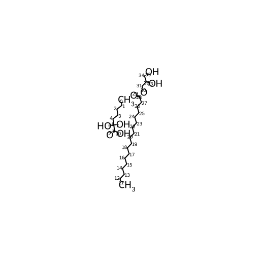 CCCCCC(O)(O)C(=O)O.CCCCCCCCCCCCCCCCCC(=O)OCC(O)CO